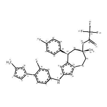 Cc1ncn(-c2ccc(Nc3nc4n(n3)CC[C@@](C)(OC(=O)C(F)(F)F)C[C@@H]4c3ccc(F)cc3)cc2F)n1